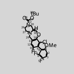 COc1ccc(F)c(F)c1-c1c(F)cc2c(c1Cl)OC[C@H]1CN(C(=O)OC(C)(C)C)CCN1C2